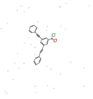 O=C(Cl)c1cc(C#Cc2ccccc2)cc(C#Cc2ccccc2)c1